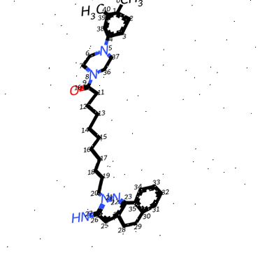 Cc1ccc(N2CCN(C(=O)CCCCCCCCCCn3nc4c(cc3=N)CCc3ccccc3-4)CC2)cc1C